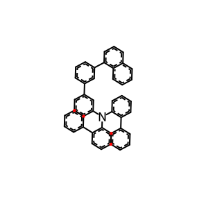 c1ccc(-c2ccccc2N(c2cccc(-c3cccc(-c4cccc5ccccc45)c3)c2)c2ccccc2-c2ccccc2)cc1